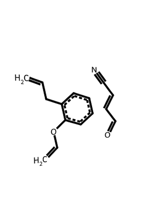 C=CCc1ccccc1OC=C.N#CC=CC=O